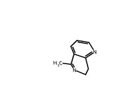 CC1=NCCc2ncccc21